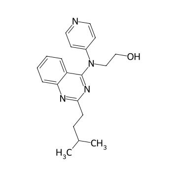 CC(C)CCc1nc(N(CCO)c2ccncc2)c2ccccc2n1